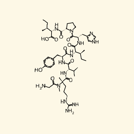 CC[C@H](C)[C@H](NC(=O)[C@@H]1CCCN1C(=O)[C@H](Cc1c[nH]cn1)NC(=O)[C@@H](NC(=O)[C@H](Cc1ccc(O)cc1)NC(=O)[C@@H](NC(=O)[C@](C)(CCCNC(=N)N)N(C)C(=O)CN)C(C)C)[C@@H](C)CC)C(=O)O